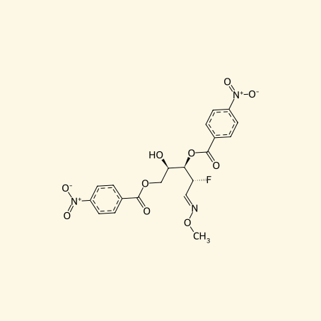 CO/N=C/[C@@H](F)[C@H](OC(=O)c1ccc([N+](=O)[O-])cc1)[C@H](O)COC(=O)c1ccc([N+](=O)[O-])cc1